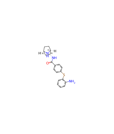 Nc1ccccc1Sc1ccc(C(=O)N[C@@H]2C[C@H]3CC[C@@H]2N3)cc1